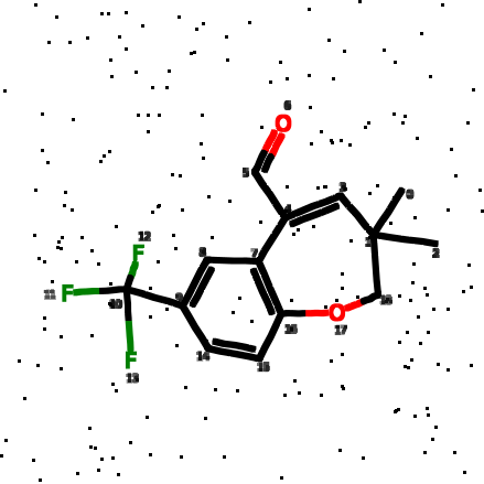 CC1(C)C=C(C=O)c2cc(C(F)(F)F)ccc2OC1